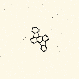 c1cnc2c(c1)c1cccc3c1c2c1cccc2c4cccnc4c3c21